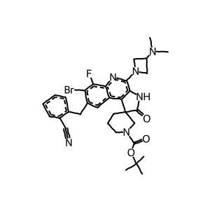 CN(C)C1CN(c2nc3c(F)c(Br)c(Cc4ccccc4C#N)cc3c3c2NC(=O)C32CCCN(C(=O)OC(C)(C)C)C2)C1